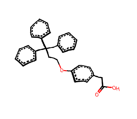 O=C(O)Cc1ccc(OCCC(c2ccccc2)(c2ccccc2)c2ccccc2)cc1